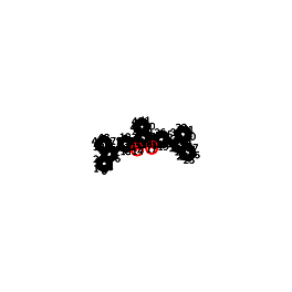 c1ccc2c(c1)cc(-c1ccc3c(c1)oc1c4oc5cc(-c6cc7ccccc7c7ccccc67)ccc5c4c4ccccc4c31)c1ccccc12